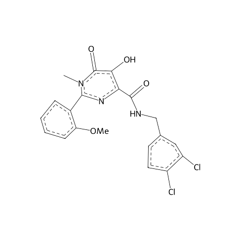 COc1ccccc1-c1nc(C(=O)NCc2ccc(Cl)c(Cl)c2)c(O)c(=O)n1C